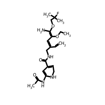 C=C/C(=C\C(OCC)=C(/N)OCC(C)(C)F)CNC(=O)C1=CCNC(NC(C)=O)=C1